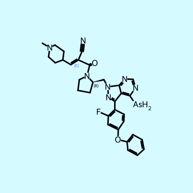 CN1CCC(/C=C(\C#N)C(=O)N2CCC[C@@H]2Cn2nc(-c3ccc(Oc4ccccc4)cc3F)c3c([AsH2])ncnc32)CC1